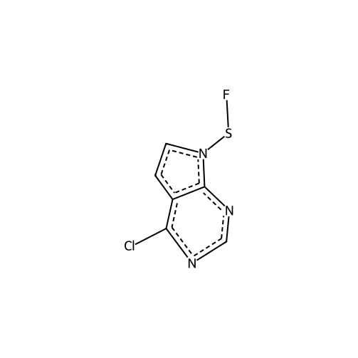 FSn1ccc2c(Cl)ncnc21